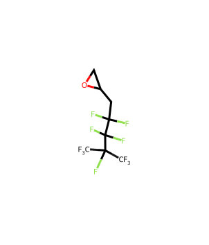 FC(F)(F)C(F)(C(F)(F)F)C(F)(F)C(F)(F)CC1CO1